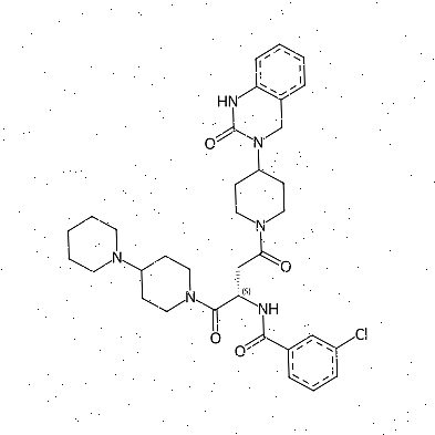 O=C(N[C@@H](CC(=O)N1CCC(N2Cc3ccccc3NC2=O)CC1)C(=O)N1CCC(N2CCCCC2)CC1)c1cccc(Cl)c1